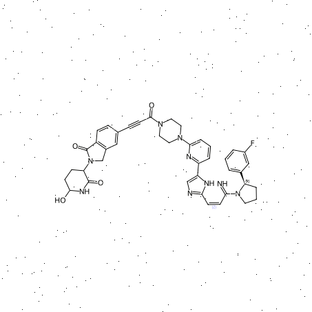 N=C(/C=C\c1ncc(-c2cccc(N3CCN(C(=O)C#Cc4ccc5c(c4)CN(C4CCC(O)NC4=O)C5=O)CC3)n2)[nH]1)N1CCC[C@@H]1c1cccc(F)c1